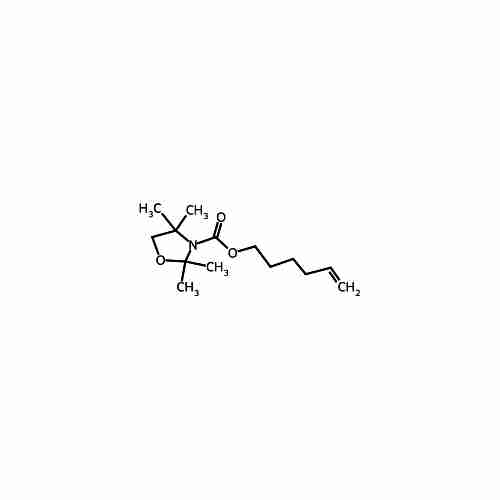 C=CCCCCOC(=O)N1C(C)(C)COC1(C)C